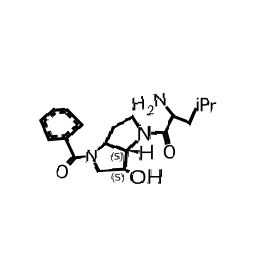 CC(C)CC(N)C(=O)N1CCC2[C@H]1[C@@H](O)CN2C(=O)c1ccccc1